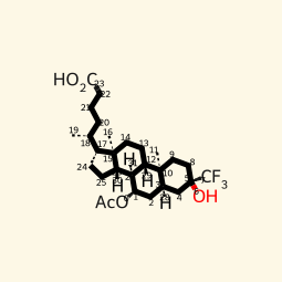 CC(=O)O[C@@H]1C[C@@H]2C[C@](O)(C(F)(F)F)CC[C@]2(C)[C@H]2CC[C@]3(C)[C@@H]([C@H](C)CCCC(=O)O)CC[C@H]3[C@H]12